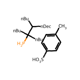 CCCCCCCCCCC(CCCC)C(P)(CCCC)CCCC.Cc1ccc(S(=O)(=O)O)cc1